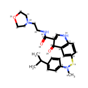 CC(C)c1ccc(N(C)Sc2ccc3[nH]cc(C(=O)NCCN4CCOCC4)c(=O)c3c2)cc1